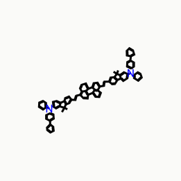 CC1(C)c2cc(/C=C/c3ccc4c5cccc6c(/C=C/c7ccc8c(c7)C(C)(C)c7cc(N(c9ccccc9)c9ccc(-c%10ccccc%10)cc9)ccc7-8)ccc(c7cccc3c74)c65)ccc2-c2ccc(N(c3ccccc3)c3ccc(-c4ccccc4)cc3)cc21